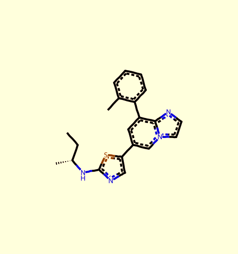 CC[C@@H](C)Nc1ncc(-c2cc(-c3ccccc3C)c3nccn3c2)s1